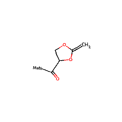 C=C1OCC(C(=O)NC)O1